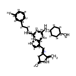 C=C1NC(=O)C/C1=C\c1cnn2c(NCCc3cccc(F)c3)nc(N[C@H]3CC[C@H](O)CC3)nc12